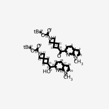 Cn1ccc2ccc(C(=O)C3CC4(C3)CN(C(=O)OC(C)(C)C)C4)nc21.Cn1ccc2ccc(C(O)C3CC4(C3)CN(C(=O)OC(C)(C)C)C4)nc21